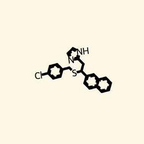 Clc1ccc(CSC(Cc2ncc[nH]2)c2ccc3ccccc3c2)cc1